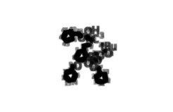 CN(CCc1ccc(OCc2ccccc2)c(OP(=O)(OCOC(=O)C(C)(C)C)OCc2ccccc2)c1)C(=O)OCc1ccccc1